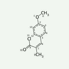 COc1ccc(C=C(C)C(=O)Cl)cc1